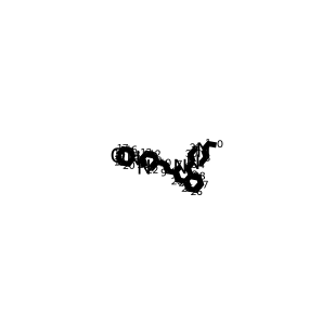 CCN1CCN(c2nc(C=Cc3ccc(N4CCOCC4)nc3)cc3ccccc23)CC1